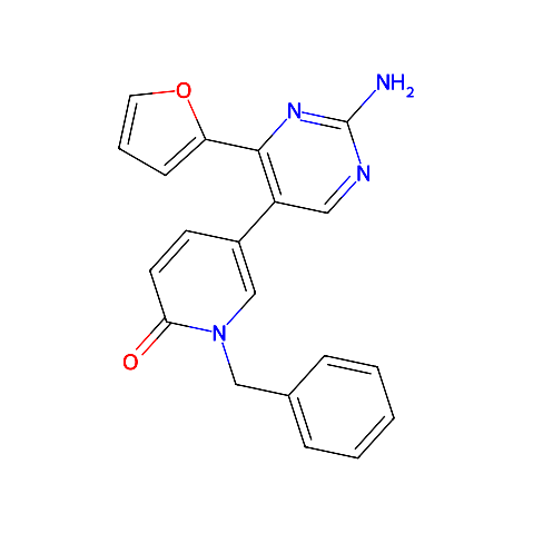 Nc1ncc(-c2ccc(=O)n(Cc3ccccc3)c2)c(-c2ccco2)n1